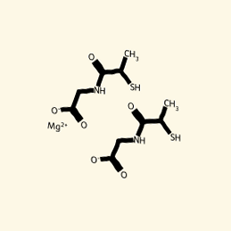 CC(S)C(=O)NCC(=O)[O-].CC(S)C(=O)NCC(=O)[O-].[Mg+2]